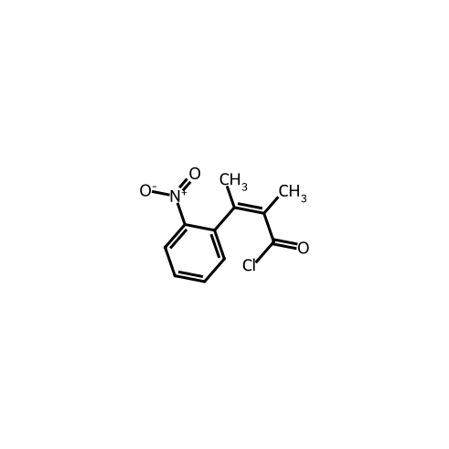 CC(C(=O)Cl)=C(C)c1ccccc1[N+](=O)[O-]